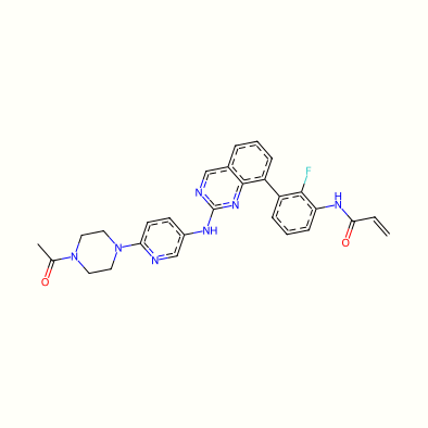 C=CC(=O)Nc1cccc(-c2cccc3cnc(Nc4ccc(N5CCN(C(C)=O)CC5)nc4)nc23)c1F